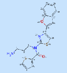 NCCCN(C(=O)c1cccs1)c1nc(-c2cc3ccccc3o2)cs1